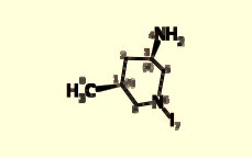 C[C@H]1C[C@@H](N)CN(I)C1